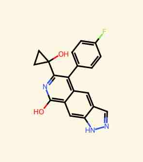 Oc1nc(C2(O)CC2)c(-c2ccc(F)cc2)c2cc3cn[nH]c3cc12